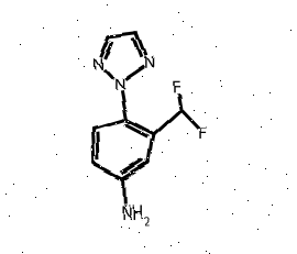 Nc1ccc(-n2nccn2)c(C(F)F)c1